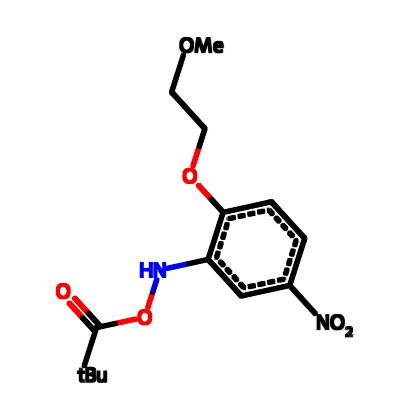 COCCOc1ccc([N+](=O)[O-])cc1NOC(=O)C(C)(C)C